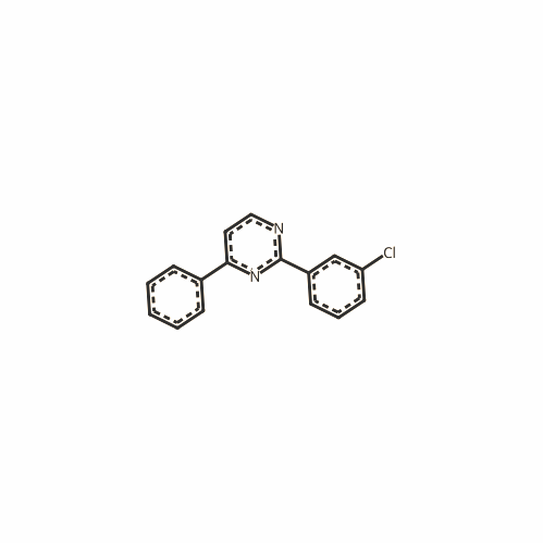 Clc1cccc(-c2nccc(-c3ccccc3)n2)c1